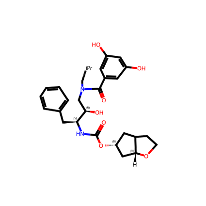 CC(C)CN(C[C@@H](O)[C@H](Cc1ccccc1)NC(=O)O[C@@H]1CC2CCO[C@@H]2C1)C(=O)c1cc(O)cc(O)c1